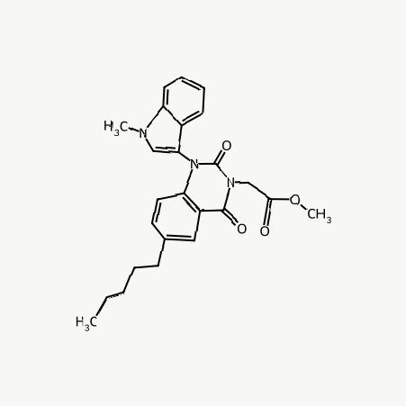 CCCCCc1ccc2c(c1)c(=O)n(CC(=O)OC)c(=O)n2-c1cn(C)c2ccccc12